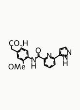 COc1cc(CC(=O)O)ccc1NC(=O)c1cccc(-c2ccn[nH]2)n1